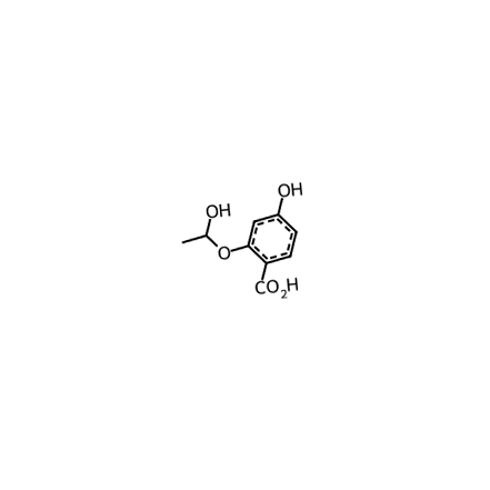 CC(O)Oc1cc(O)ccc1C(=O)O